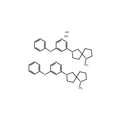 CN1CCCC12CCN(c1cncc(Oc3ccccc3)c1)C2.CN1CCCC12CCN(c1cncc(Oc3ccccc3)c1)C2.Cl.Cl